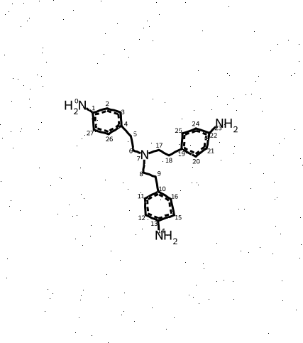 Nc1ccc(CCN(CCc2ccc(N)cc2)CCc2ccc(N)cc2)cc1